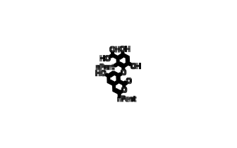 CCCCCc1cc2cc(O)cc(Oc3c(O)cc(O)c(C(O)O)c3CCCCC)c2c(=O)o1